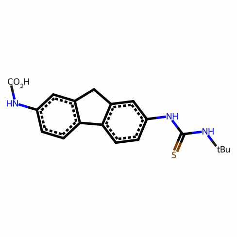 CC(C)(C)NC(=S)Nc1ccc2c(c1)Cc1cc(NC(=O)O)ccc1-2